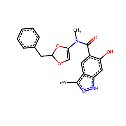 CCCc1n[nH]c2cc(O)c(C(=O)N(C)C3=COC(Cc4ccccc4)O3)cc12